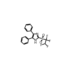 O=S(=O)(c1nc(-c2ccccc2)c(-c2ccccc2)[nH]1)C(F)(F)C(F)F